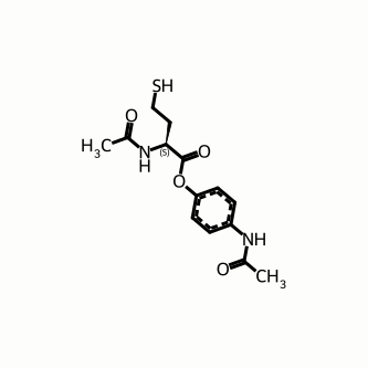 CC(=O)Nc1ccc(OC(=O)[C@H](CCS)NC(C)=O)cc1